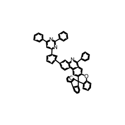 c1ccc(-c2cc(-c3cccc(-c4ccc5c(c4)nc(-c4ccccc4)c4cc6c(cc45)C4(c5ccccc5O6)c5ccccc5-c5ccccc54)c3)nc(-c3ccccc3)n2)cc1